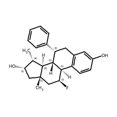 C[C@@H]1[C@H]2[C@H]3[C@@H](c4ccc(O)cc4C[C@H]3c3ccccc3)[C@@H](F)C[C@]2(C)C[C@@H]1O